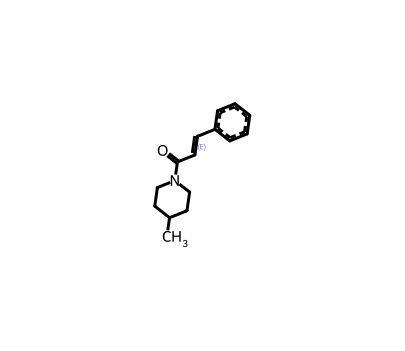 CC1CCN(C(=O)/C=C/c2ccccc2)CC1